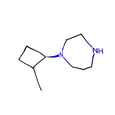 CC1CC[C@H]1N1CCNCC1